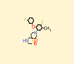 Cc1cc(N2CCC3(CC2)CNCCS3(=O)=O)c(Oc2cccc(F)c2)cc1F